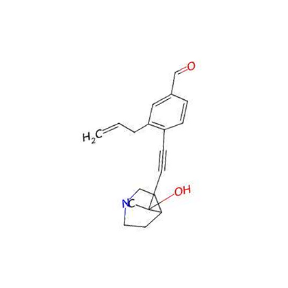 C=CCc1cc(C=O)ccc1C#CC1(O)CN2CCC1CC2